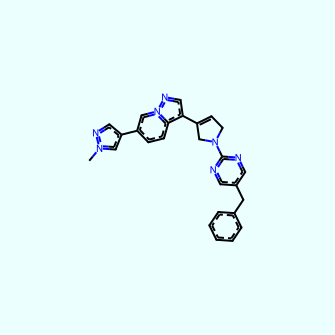 Cn1cc(-c2ccc3c(C4=CCN(c5ncc(Cc6ccccc6)cn5)C4)cnn3c2)cn1